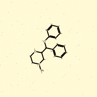 CC(C)N1CCOC(C(Oc2ccccc2)c2ccccc2)C1